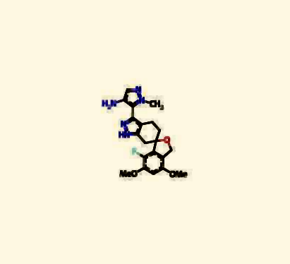 COc1cc(OC)c2c(c1F)C1(CCc3c(-c4c(N)cnn4C)n[nH]c3C1)OC2